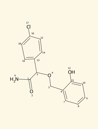 NC(=O)C(OCc1ccccc1O)c1ccc(Cl)cc1